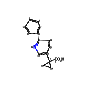 O=C(O)C1(c2ccc(-c3ccccc3)nc2)CC1